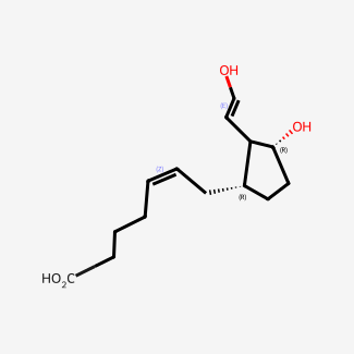 O=C(O)CCC/C=C\C[C@H]1CC[C@@H](O)C1/C=C/O